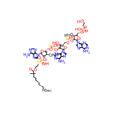 CCCCCCCCCCCCCCCCC(C)(C)C(=O)OCCSP(=O)(O)O[C@H]1C(OC)[C@@H](COP(O)(=S)O[C@H]2C(O)[C@@H](COP(O)(=S)O[C@H]3C(OC)[C@@H](COP(=O)(O)OCCO)O[C@H]3n3cnc4c(N)ncnc43)O[C@H]2n2cnc3c(N)ncnc32)O[C@H]1n1cnc2c(N)ncnc21